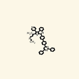 C=C/N=C\C=C(/C)c1sc2c(-c3ccc(-c4ccc(-c5cc(-c6ccccc6)nc(-c6ccccc6)n5)cc4)cc3)nc3ccccc3c2c1-c1ccncc1